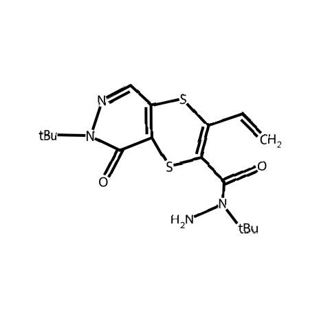 C=CC1=C(C(=O)N(N)C(C)(C)C)Sc2c(cnn(C(C)(C)C)c2=O)S1